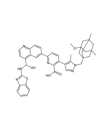 COC12CC3(C)CC(C)(CC(Cn4ncc(-c5ccc(-c6ccc7nccc(C(O)Nc8nc9ccccc9s8)c7c6)nc5C(=O)O)c4C)(C3)C1)C2